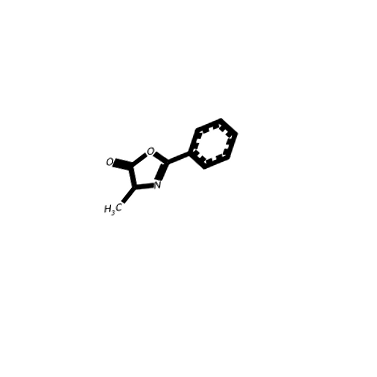 CC1N=C(c2ccccc2)OC1=O